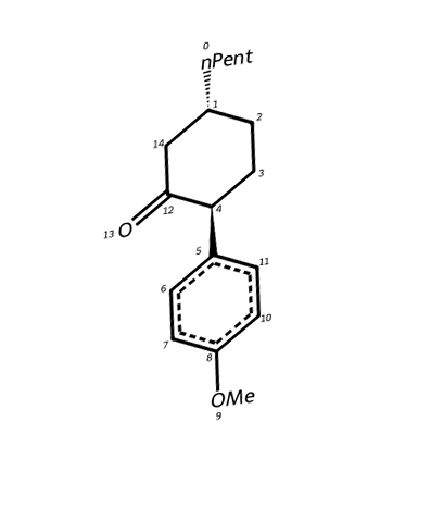 CCCCC[C@@H]1CC[C@@H](c2ccc(OC)cc2)C(=O)C1